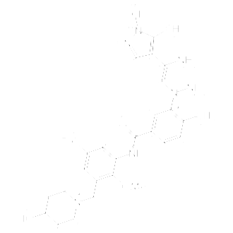 COc1c(CN2CCC(O)CC2)cc(C(F)(F)F)cc1NC(=O)c1ccc(C)c(N(N)/C=C(\N)c2cnn(C)c2C)c1